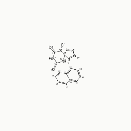 O=C1NC(=O)C(=O)C2(C=CN=N2)N1.c1ccc2ncccc2c1